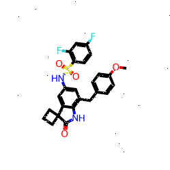 COc1ccc(Cc2cc(NS(=O)(=O)c3ccc(F)cc3F)cc3c2NC(=O)C32CCC2)cc1